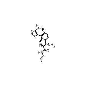 CCCNC(=O)c1ncc2c(-c3scnc3C(F)F)c(F)ccc2c1N